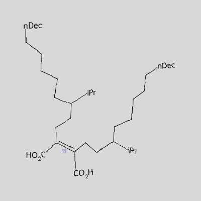 CCCCCCCCCCCCCCCC(CC/C(C(=O)O)=C(\CCC(CCCCCCCCCCCCCCC)C(C)C)C(=O)O)C(C)C